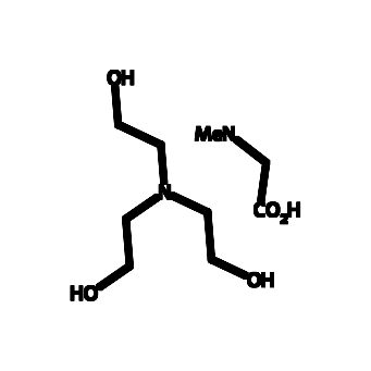 CNCC(=O)O.OCCN(CCO)CCO